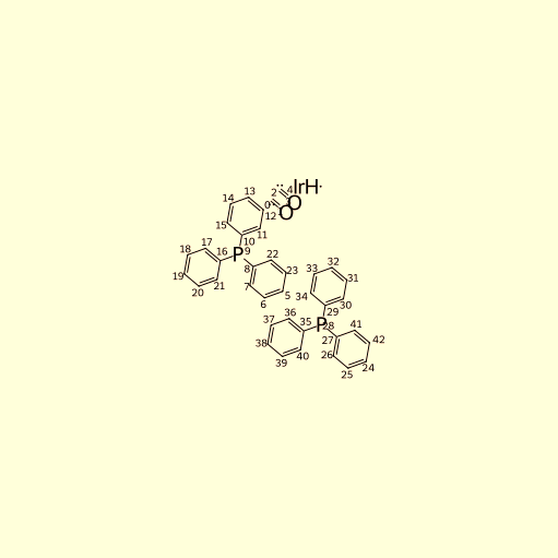 [C]=O.[C]=O.[IrH].c1ccc(P(c2ccccc2)c2ccccc2)cc1.c1ccc(P(c2ccccc2)c2ccccc2)cc1